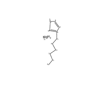 CCCCCCc1ccsc1.[MgH2]